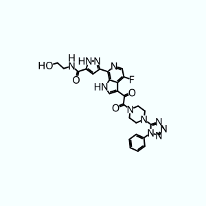 O=C(NCCO)c1cc(-c2ncc(F)c3c(C(=O)C(=O)N4CCN(c5nnnn5-c5ccccc5)CC4)c[nH]c23)n[nH]1